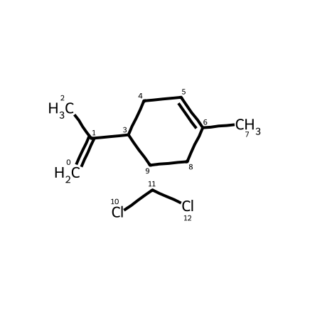 C=C(C)C1CC=C(C)CC1.ClCCl